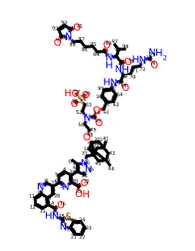 Cc1c(-c2ccc(-c3cnc4cccc(C(=O)Nc5nc6ccccc6s5)c4c3)nc2C(=O)O)cnn1CC12CC3(C)CC(C)(C1)CC(OCCN(CCS(=O)(=O)O)C(=O)OCc1ccc(NC(=O)[C@H](CCCNC(N)=O)NC(=O)C(NC(=O)CCCCCN4C(=O)C=CC4=O)C(C)C)cc1)(C3)C2